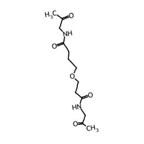 CC(=O)CNC(=O)CCCOCCC(=O)NCC(C)=O